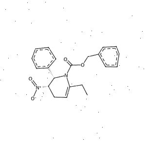 CCC1=CC[C@H]([N+](=O)[O-])[C@H](c2ccccc2)N1C(=O)OCc1ccccc1